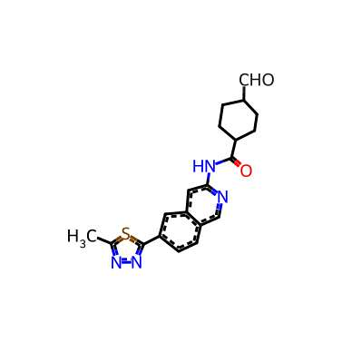 Cc1nnc(-c2ccc3cnc(NC(=O)C4CCC(C=O)CC4)cc3c2)s1